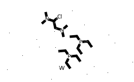 CCP(CC)CC.CCP(CC)CC.CN(C)CC(Cl)N(C)C.[W]